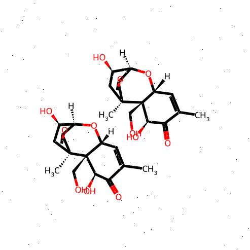 CC1=C[C@H]2O[C@@H]3[C@H](O)C[C@@](C)(C34CO4)[C@@]2(CO)[C@H](O)C1=O.CC1=C[C@H]2O[C@@H]3[C@H](O)C[C@@](C)(C34CO4)[C@@]2(CO)[C@H](O)C1=O